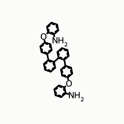 Nc1ccccc1Oc1ccc(-c2ccccc2-c2ccccc2-c2ccc(Oc3ccccc3N)cc2)cc1